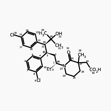 CC[C@H](C[C@@H](c1cccc(Cl)c1)[C@@H](c1ccc(Cl)cc1)C(C)(C)O)N1CCCC(C)(CC(=O)O)C1=O